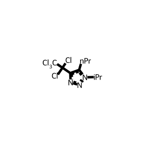 CCCc1c(C(Cl)(Cl)C(Cl)(Cl)Cl)nnn1C(C)C